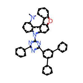 CN(C)c1cccc2c1c1c3c(ccc1n2-c1nc(-c2ccccc2)nc(-c2cc(-c4ccccc4)cc(-c4ccccc4)c2)n1)oc1ccccc13